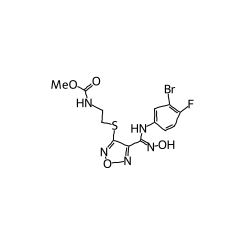 COC(=O)NCCSc1nonc1/C(=N/O)Nc1ccc(F)c(Br)c1